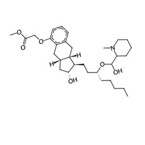 CCCCC[C@H](CC[C@@H]1[C@H]2Cc3cccc(OCC(=O)OC)c3C[C@H]2C[C@H]1O)OC(O)C1CCCCN1C